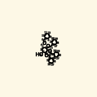 O[C@H]1C[C@H](COCc2ccccc2)[C@@H](OCc2ccccc2)[C@H](OCc2ccccc2)[C@H]1OCc1ccccc1